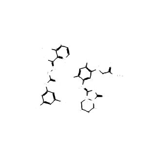 C/C(=N\NC(=O)Nc1cc(F)cc(F)c1)c1ncccc1C(=O)O.COC(=O)CSc1cc(/N=c2\sc(=O)n3n2CCCC3)c(F)cc1Cl